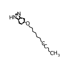 CCCCCCCCCCCCOc1ccc2[nH]cnc2c1